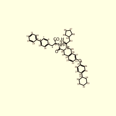 O=C(N[C@@H](Cc1ccc(-c2ccccc2)cc1)C(=O)O)C1Cc2ccc(Oc3ccc(C4CCCCC4)cc3)cc2CN1C(=O)CC1CCCC1